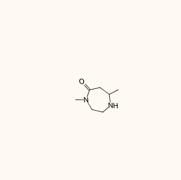 CC1CC(=O)N(C)CCN1